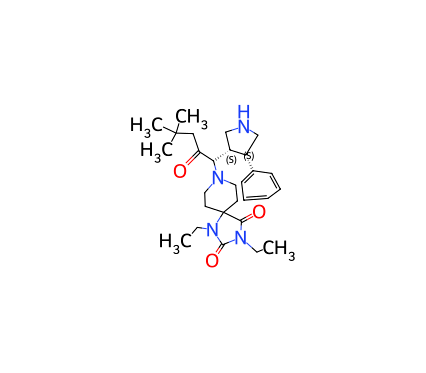 CCN1C(=O)N(CC)C2(CCN(C(C(=O)CC(C)(C)C)[C@@H]3CNC[C@@H]3c3ccccc3)CC2)C1=O